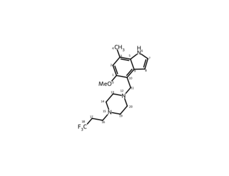 COc1cc(C)c2[nH]ccc2c1CN1CCN(CCC(F)(F)F)CC1